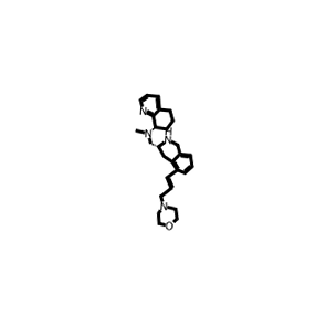 CN(C[C@H]1Cc2c(/C=C/CN3CCOCC3)cccc2CN1)[C@H]1CCCc2cccnc21